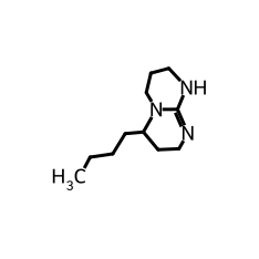 CCCCC1CCN=C2NCCCN21